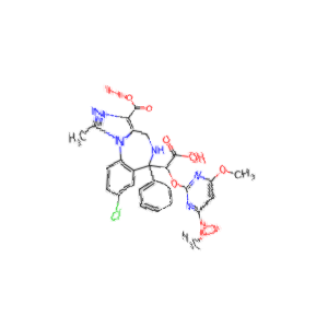 COc1cc(OC)nc(OC(C(=O)O)C2(c3ccccc3)NCc3c(C(=O)O)nc(C)n3-c3ccc(Cl)cc32)n1